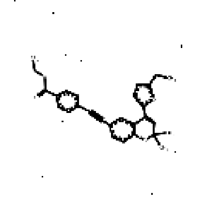 CCOC(=O)c1ccc(C#Cc2ccc3c(c2)C(c2ccc(CC)s2)=CC(C)(C)S3)cc1